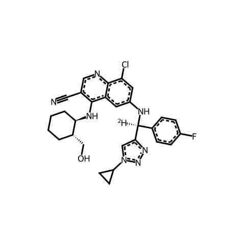 [2H][C@](Nc1cc(Cl)c2ncc(C#N)c(N[C@@H]3CCCC[C@H]3CO)c2c1)(c1ccc(F)cc1)c1cn(C2CC2)nn1